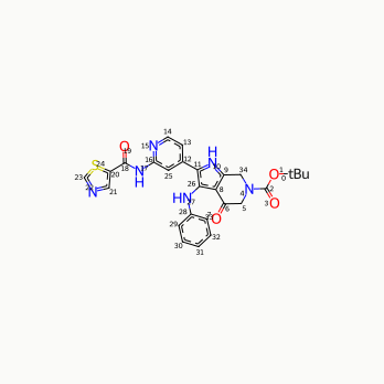 CC(C)(C)OC(=O)N1CC(=O)c2c([nH]c(-c3ccnc(NC(=O)c4cncs4)c3)c2Nc2ccccc2)C1